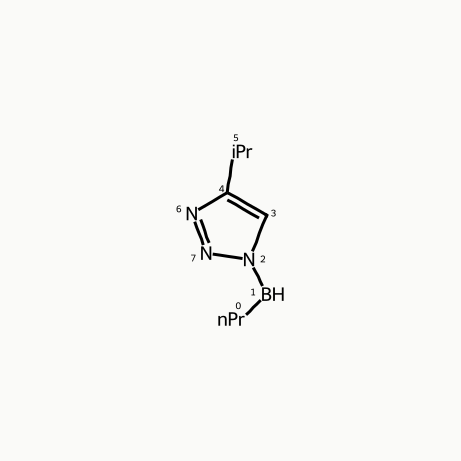 CCCBn1cc(C(C)C)nn1